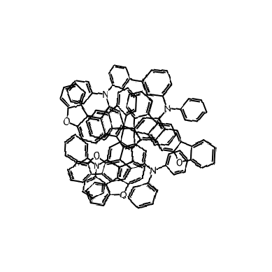 c1ccc(N(c2cccc(-c3cccc(N(c4ccccc4)c4cc5c(c6ccc7oc8ccccc8c7c46)-c4c(cc(N(c6ccccc6)c6ccccc6)c6ccc7c8ccccc8oc7c46)C54c5ccccc5-c5ccccc54)c3)c2)c2cc3c(c4cc5oc6ccccc6c5cc24)-c2c(cc(N(c4ccccc4)c4ccccc4)c4c2ccc2oc5ccccc5c24)C32c3ccccc3-c3ccccc32)cc1